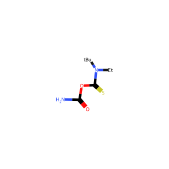 CCN(C(=S)OC(N)=O)C(C)(C)C